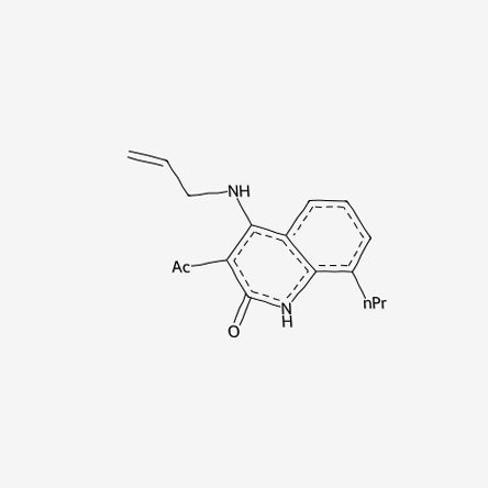 C=CCNc1c(C(C)=O)c(=O)[nH]c2c(CCC)cccc12